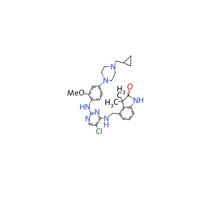 COc1cc(N2CCN(CC3CC3)CC2)ccc1Nc1ncc(Cl)c(NCc2cccc3c2C(C)(C)C(=O)N3)n1